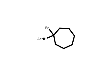 CC(=O)NC1(Br)CCCCCC1